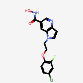 O=C(NO)c1cnc2ccn(CCOc3ccc(Cl)cc3F)c2c1